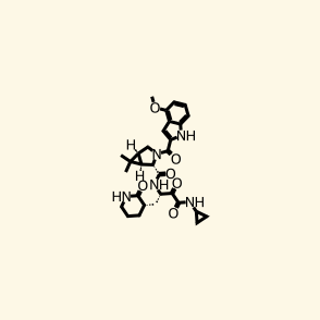 COc1cccc2[nH]c(C(=O)N3C[C@H]4[C@@H]([C@H]3C(=O)N[C@@H](C[C@@H]3CCCNC3=O)C(=O)C(=O)NC3CC3)C4(C)C)cc12